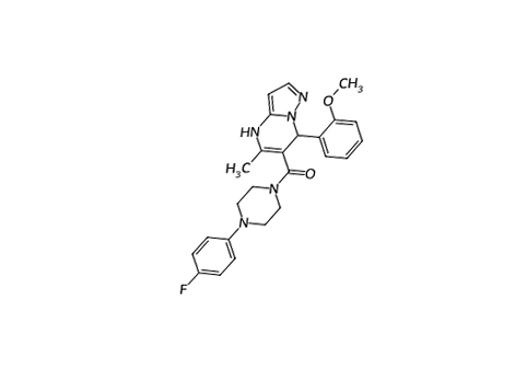 COc1ccccc1C1C(C(=O)N2CCN(c3ccc(F)cc3)CC2)=C(C)Nc2ccnn21